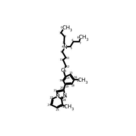 CCCCN(CCCC)CCCCOc1cc(C)cc(-c2cn3cccc(C)c3n2)c1